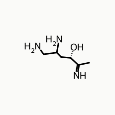 CC(=N)[C@@H](O)CC(N)CN